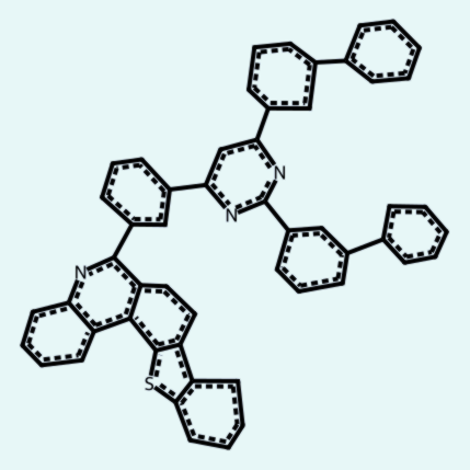 c1ccc(-c2cccc(-c3cc(-c4cccc(-c5nc6ccccc6c6c5ccc5c7ccccc7sc56)c4)nc(-c4cccc(-c5ccccc5)c4)n3)c2)cc1